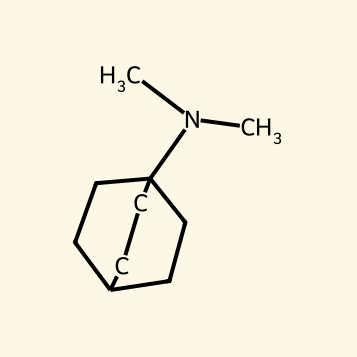 CN(C)C12CCC(CC1)CC2